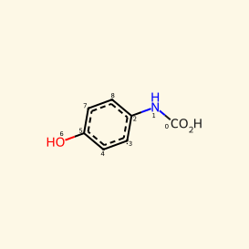 O=C(O)Nc1[c]cc(O)cc1